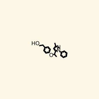 Cc1cc(C(C)Oc2ccc(CCO)cc2)n(-c2ccccc2)n1